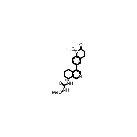 CONC(=O)N[C@@H]1CCCc2c(-c3ccc4c(c3)CCC(=O)N4C)cncc21